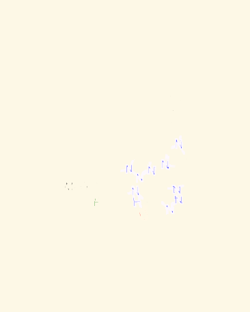 COc1ccc(-n2ccnn2)c(CNC(=O)c2cn(Cc3cn4cc(C5CC5)ccc4n3)nn2)c1F